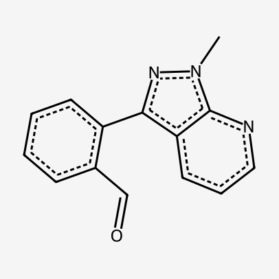 Cn1nc(-c2ccccc2C=O)c2cccnc21